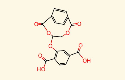 O=C(O)c1ccc(C(=O)O)c(OC2COC(=O)c3ccc(cc3)C(=O)O2)c1